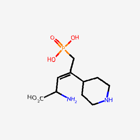 NC(/C=C(/CP(=O)(O)O)C1CCNCC1)C(=O)O